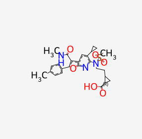 CNC(=O)c1c(-c2ccc(C)cc2)oc2nc(N(CCC3C[C@H]3C(=O)O)S(C)(=O)=O)c(C3CC3)cc12